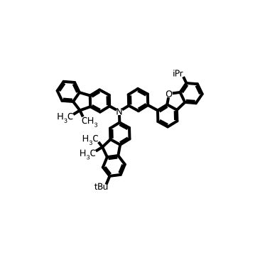 CC(C)c1cccc2c1oc1c(-c3cccc(N(c4ccc5c(c4)C(C)(C)c4ccccc4-5)c4ccc5c(c4)C(C)(C)c4cc(C(C)(C)C)ccc4-5)c3)cccc12